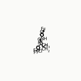 C=C(Cl)CC1(C)CN(C(=O)Nc2ccc(OC(F)(F)F)cc2)N=C1c1ccc(C(F)(F)F)c(Cl)c1